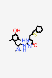 Cc1cc(O)cc(C)c1CC(CNc1nc(=O)cc(Cc2cc3ccccc3s2)[nH]1)N(C)C